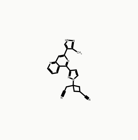 Cc1n[nH]cc1-c1cc2ncccc2c(-c2ccn(C3(CC#N)CC(C#N)C3)n2)n1